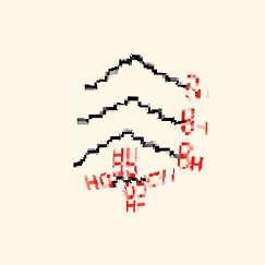 CCCCCCCC/C=C\CCCCCCCC(=O)O.CCCCCCCC/C=C\CCCCCCCC(=O)O.CCCCCCCC/C=C\CCCCCCCC(=O)O.OC[C@@H](O)[C@@H](O)[C@H](O)[C@@H](O)CO